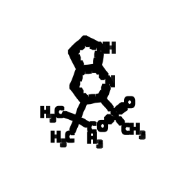 CC(C)(C)c1cc2cc[nH]c2nc1S(C)(=O)=O